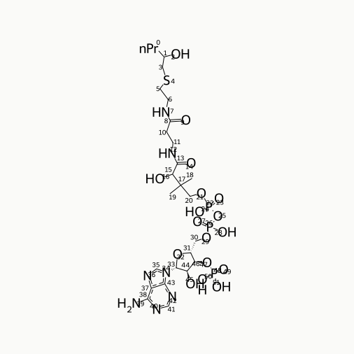 CCCC(O)CSCCNC(=O)CCNC(=O)C(O)C(C)(C)COP(=O)(O)OP(=O)(O)OC[C@H]1O[C@@H](n2cnc3c(N)ncnc32)[C@H](O)[C@@H]1OP(=O)(O)O